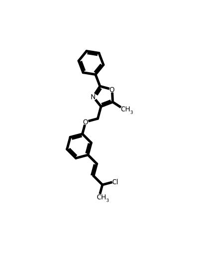 Cc1oc(-c2ccccc2)nc1COc1cccc(/C=C/C(C)Cl)c1